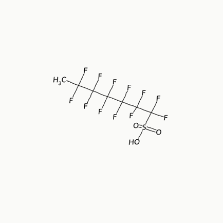 CC(F)(F)C(F)(F)C(F)(F)C(F)(F)C(F)(F)C(F)(F)S(=O)(=O)O